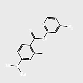 O=C(Nc1cc(C(F)(F)F)ccn1)c1ccc(B(O)O)cc1F